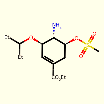 CCOC(=O)C1=C[C@@H](OC(CC)CC)[C@H](N)[C@@H](OS(C)(=O)=O)C1